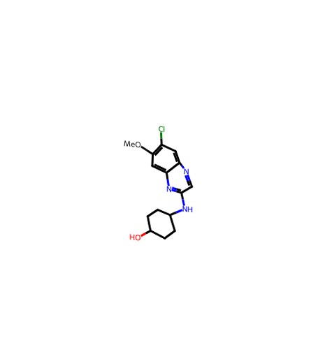 COc1cc2nc(NC3CCC(O)CC3)cnc2cc1Cl